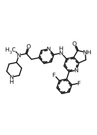 CN(C(=O)Cc1ccc(Nc2cc(-c3c(F)cccc3F)nc3c2C(=O)NC3)nc1)C1CCNCC1